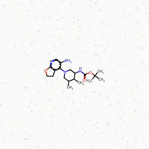 CC1CN(c2c(N)cnc3c2CCO3)CC(NC(=O)OC(C)(C)C)C1C